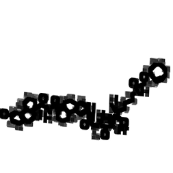 CC(C)[C@H](NC(=O)[C@@H](N)CCCCNC(=O)COC1C#CCCCCC1)C(=O)N[C@@H](C)C(=O)Nc1ccc2c(c1)[C@@]1(C)CCC[C@H](C(=O)NC(=O)[C@@]3(C)CCC[C@]4(C)c5cc(O)ccc5CC[C@@H]34)[C@@H]1CC2